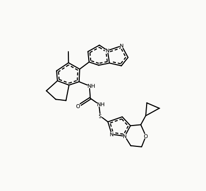 Cc1cc2c(c(NC(=O)NSc3cc4n(n3)CCOC4C3CC3)c1-c1ccn3nccc3c1)CCC2